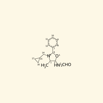 CC1C(NC=O)OC(c2ccccc2)N1CC1CC1